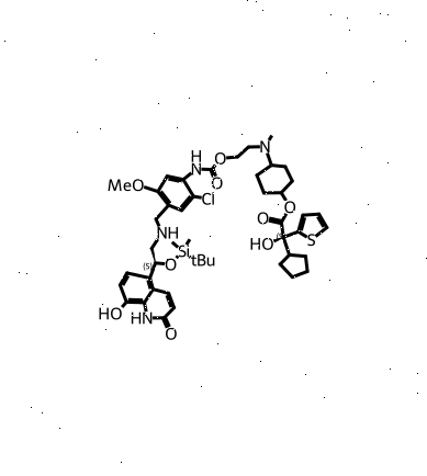 COc1cc(NC(=O)OCCN(C)C2CCC(OC(=O)[C@](O)(c3cccs3)C3CCCC3)CC2)c(Cl)cc1CNC[C@@H](O[Si](C)(C)C(C)(C)C)c1ccc(O)c2[nH]c(=O)ccc12